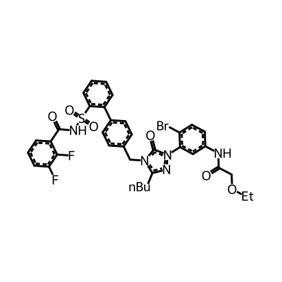 CCCCc1nn(-c2cc(NC(=O)COCC)ccc2Br)c(=O)n1Cc1ccc(-c2ccccc2S(=O)(=O)NC(=O)c2cccc(F)c2F)cc1